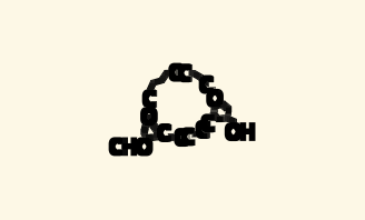 O=Cc1ccc2c(c1)CCCCCCCc1cc(CO)ccc1OCCCCCCCCCCCCO2